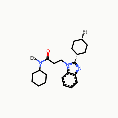 CCN(C(=O)CCn1c2ccccc2nc1[C@H]1CC[C@H](CC)CC1)C1CCCCC1